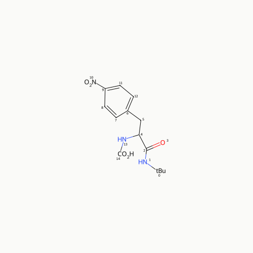 CC(C)(C)NC(=O)C(Cc1ccc([N+](=O)[O-])cc1)NC(=O)O